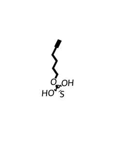 C#CCCCCOP(O)(O)=S